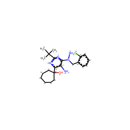 CC(C)(C)c1nc(N(N)Cc2ccccc2Cl)c(N)c(C2(O)CCCCCC2)n1